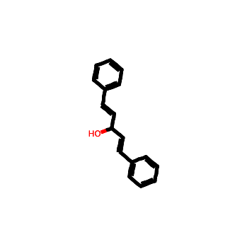 OC(C=Cc1ccccc1)C=Cc1ccccc1